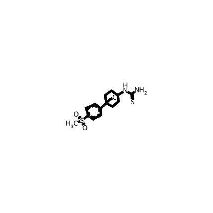 CS(=O)(=O)c1ccc(C23CCC(NC(N)=S)(CC2)CC3)cc1